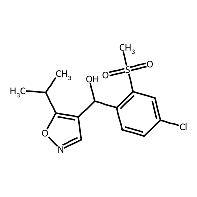 CC(C)c1oncc1C(O)c1ccc(Cl)cc1S(C)(=O)=O